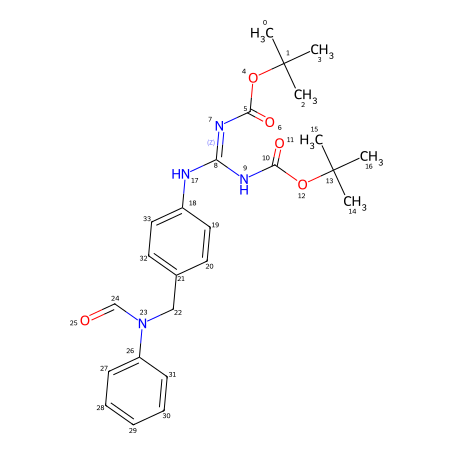 CC(C)(C)OC(=O)/N=C(\NC(=O)OC(C)(C)C)Nc1ccc(CN(C=O)c2ccccc2)cc1